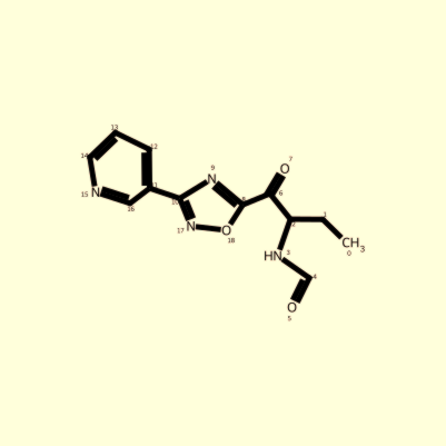 CCC(NC=O)C(=O)c1nc(-c2cccnc2)no1